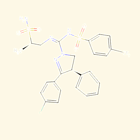 C[C@H](C/N=C(/NS(=O)(=O)c1ccc(C(F)(F)F)cc1)N1C[C@@H](c2ccccc2)C(c2ccc(F)cc2)=N1)S(N)(=O)=O